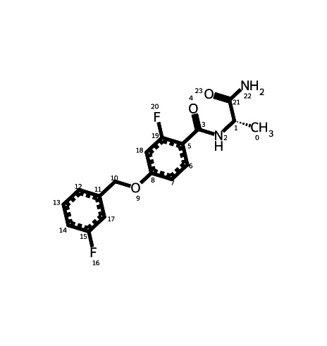 C[C@H](NC(=O)c1ccc(OCc2cccc(F)c2)cc1F)C(N)=O